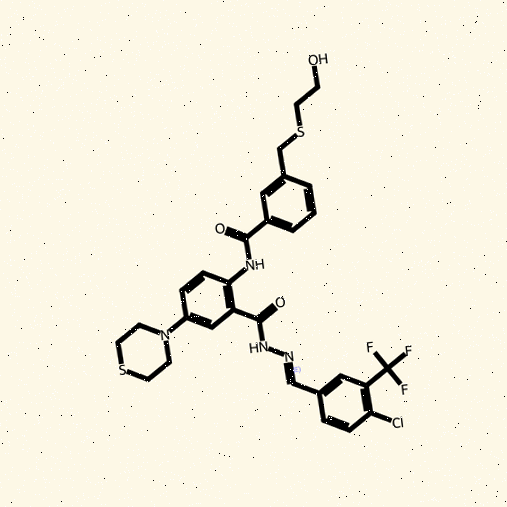 O=C(Nc1ccc(N2CCSCC2)cc1C(=O)N/N=C/c1ccc(Cl)c(C(F)(F)F)c1)c1cccc(CSCCO)c1